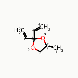 C=CC1(C=C)OC[C@H](C)O1